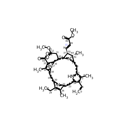 C=Cc1c(C)c2cc3nc(c(CC(=O)OC)c4[nH]c(cc5nc(cc1[nH]2)C(C)=C5CC)c(C)c4C(=O)O)[C@@H](/C=C/C(=O)OC)[C@@H]3C